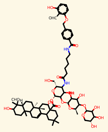 C[C@H]1O[C@@H](OC2C(O)C(NC(=O)CCCCCNC(=O)c3ccc(COc4cccc(O)c4C=O)cc3)[C@@H](CO)O[C@H]2OC(=O)C23CCC(C)(C)CC2C2=CCC4C5(C)CCC(O)C(C)(C=O)[C@@H]5CC[C@@]4(C)[C@]2(C)C[C@@H]3O)C(O)C(O)C1O[C@@H]1OC[C@@H](O)C(O)C1O